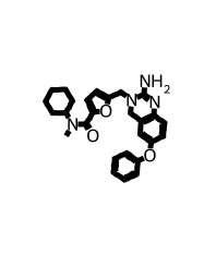 CN(C(=O)c1ccc(CN2Cc3cc(Oc4ccccc4)ccc3N=C2N)o1)C1CCCCC1